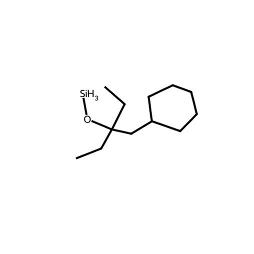 CCC(CC)(CC1CCCCC1)O[SiH3]